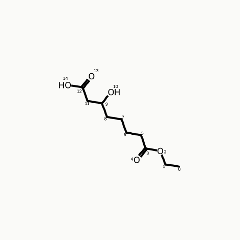 CCOC(=O)CCCCC(O)CC(=O)O